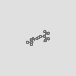 c1ccc(-c2c3ccccc3nc3c2ccc2ccc(-c4ccc5cc6cc(-c7cc(-n8c9ccccc9c9ccccc98)cc(-n8c9ccccc9c9ccccc98)c7)ccc6cc5c4)nc23)cc1